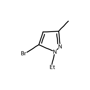 CCn1nc(C)cc1Br